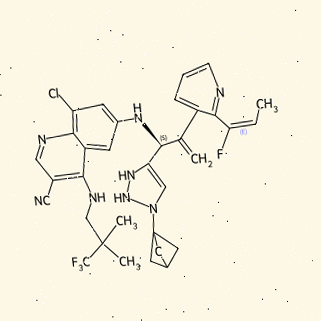 C=C(c1cccnc1/C(F)=C\C)[C@H](Nc1cc(Cl)c2ncc(C#N)c(NCC(C)(C)C(F)(F)F)c2c1)C1=CN(C23CC(C2)C3)NN1